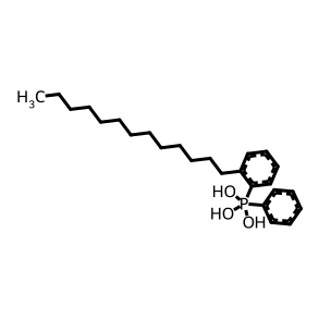 CCCCCCCCCCCCCc1ccccc1P(O)(O)(O)c1ccccc1